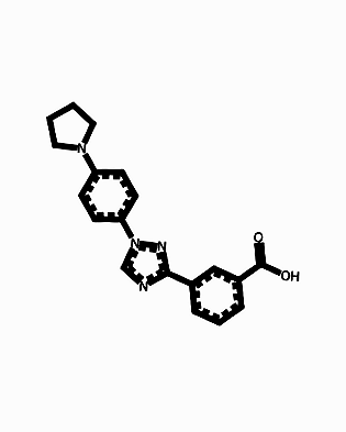 O=C(O)c1cccc(-c2ncn(-c3ccc(N4CCCC4)cc3)n2)c1